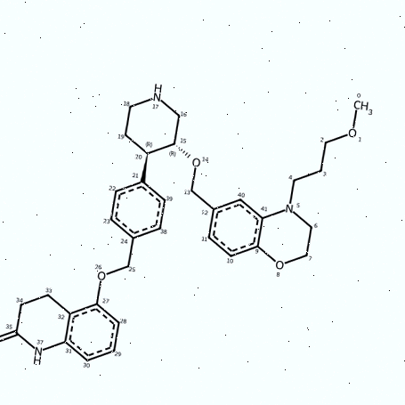 COCCCN1CCOc2ccc(CO[C@H]3CNCC[C@@H]3c3ccc(COc4cccc5c4CCC(=O)N5)cc3)cc21